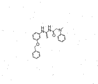 CN(CC(=O)NC(=S)Nc1cccc(OCc2ccccc2)c1)c1ccccc1